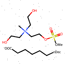 CCCCCCCCCCCCCCCC(=O)[O-].COS(=O)(=O)OCC[N+](C)(CCO)CCO